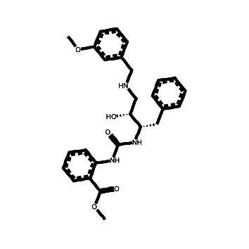 COC(=O)c1ccccc1NC(=O)N[C@@H](Cc1ccccc1)[C@H](O)CNCc1cccc(OC)c1